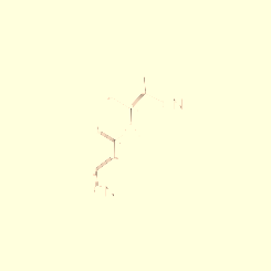 CC(C#N)=C(C)OC(=O)C=CC#N